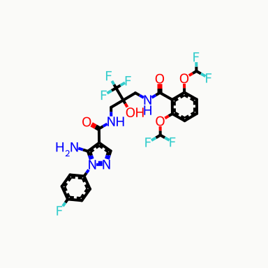 Nc1c(C(=O)NCC(O)(CNC(=O)c2c(OC(F)F)cccc2OC(F)F)C(F)(F)F)cnn1-c1ccc(F)cc1